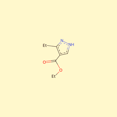 CCOC(=O)c1c[nH]nc1CC